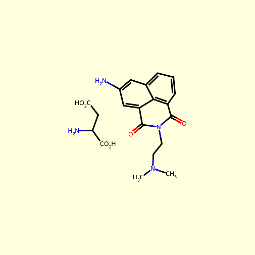 CN(C)CCN1C(=O)c2cccc3cc(N)cc(c23)C1=O.NC(CC(=O)O)C(=O)O